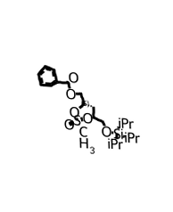 CC(C)[Si](OCCC[C@@H](COC(=O)c1ccccc1)OS(C)(=O)=O)(C(C)C)C(C)C